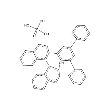 O=P(O)(O)O.Oc1ccc2ccccc2c1-c1c(-c2cc(-c3ccccc3)cc(-c3ccccc3)c2)ccc2ccccc12